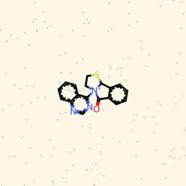 O=C1c2ccccc2C2SCC[N+]12c1ncnc2ccccc12